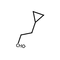 O=[C]CCC1CC1